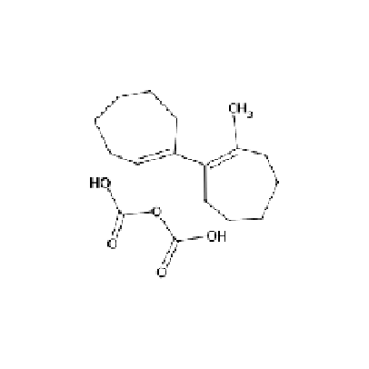 CC1=C(C2=CCCCCC2)CCCCC1.O=C(O)OC(=O)O